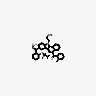 CC(=O)OCCn1c2ccc(/C(=N\OC(C)=O)c3ccccc3OC(F)(F)C(F)F)cc2c2cc(C(=O)c3ccccc3C)c3ccccc3c21